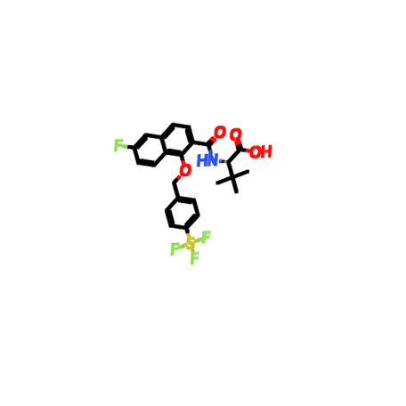 CC(C)(C)[C@H](NC(=O)c1ccc2cc(F)ccc2c1OCc1ccc(S(F)(F)F)cc1)C(=O)O